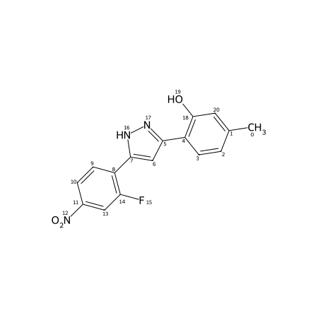 Cc1ccc(-c2cc(-c3ccc([N+](=O)[O-])cc3F)[nH]n2)c(O)c1